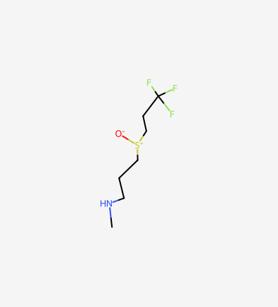 CNCCC[S+]([O-])CCC(F)(F)F